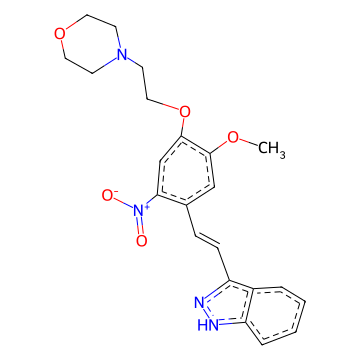 COc1cc(/C=C/c2n[nH]c3ccccc23)c([N+](=O)[O-])cc1OCCN1CCOCC1